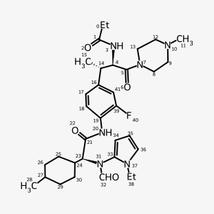 CCC(=O)N[C@@H](C(=O)N1CCN(C)CC1)[C@@H](C)c1ccc(NC(=O)[C@H](C2CCC(C)CC2)N(C=O)c2cccn2CC)c(F)c1